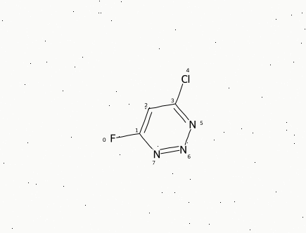 Fc1[c]c(Cl)nnn1